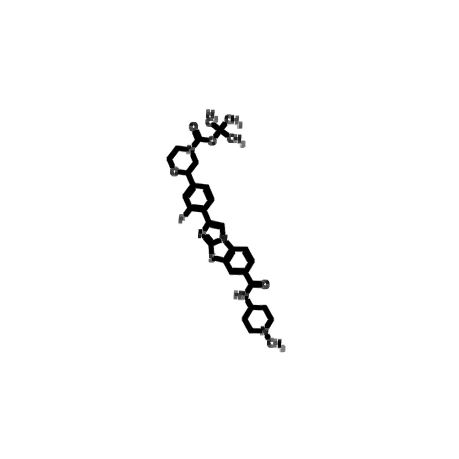 CN1CCC(NC(=O)c2ccc3c(c2)sc2nc(-c4ccc(C5CN(C(=O)OC(C)(C)C)CCO5)cc4F)cn23)CC1